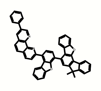 CC1(C)c2ccccc2-c2c1cc(-c1ccc(-c3ccc4ccc5cc(-c6ccccc6)cnc5c4n3)c3c1oc1ccccc13)c1c2oc2ccccc21